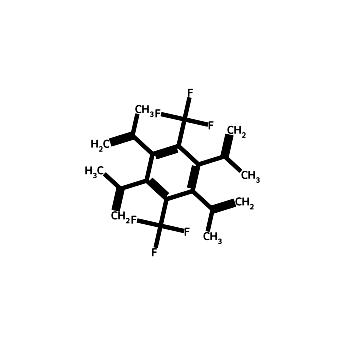 C=C(C)c1c(C(=C)C)c(C(F)(F)F)c(C(=C)C)c(C(=C)C)c1C(F)(F)F